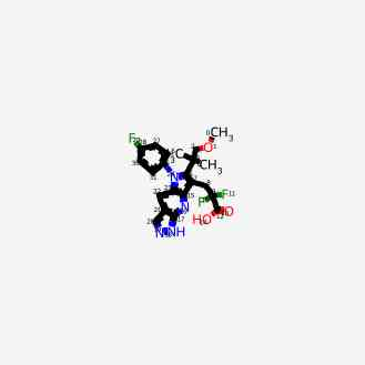 COCC(C)(C)c1c(CC(F)(F)C(=O)O)c2nc3[nH]ncc3cc2n1-c1ccc(F)cc1